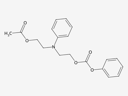 CC(=O)OCCN(CCOC(=O)Oc1ccccc1)c1ccccc1